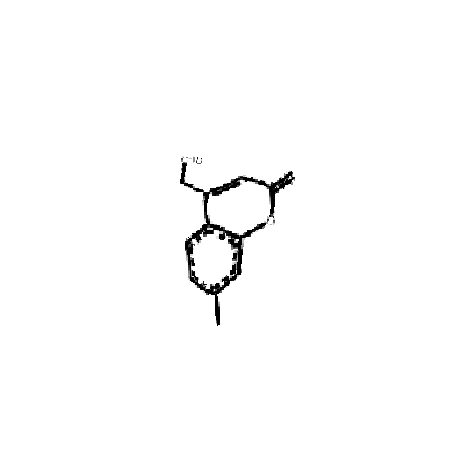 C=C1C=C(CC=O)c2ccc(C)cc2O1